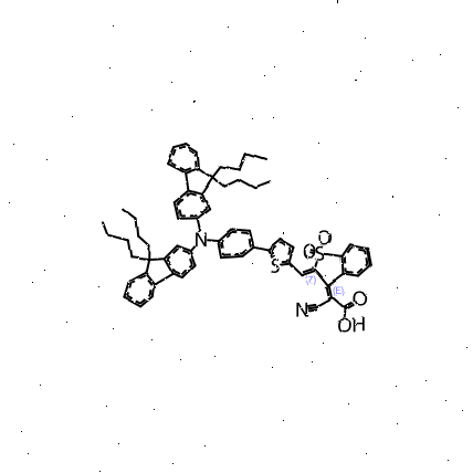 CCCCC1(CCCC)c2ccccc2-c2ccc(N(c3ccc(-c4ccc(/C=C5/C(=C(\C#N)C(=O)O)c6ccccc6S5(=O)=O)s4)cc3)c3ccc4c(c3)C(CCCC)(CCCC)c3ccccc3-4)cc21